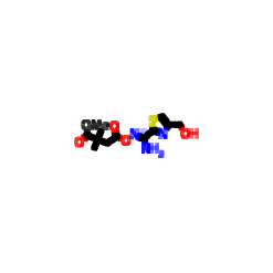 COC(=O)C(C)(C)CC(=O)O/N=C(\N)c1nc(CO)cs1